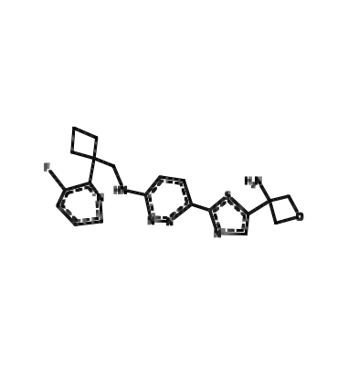 NC1(c2cnc(-c3ccc(NCC4(c5ncccc5F)CCC4)nn3)s2)COC1